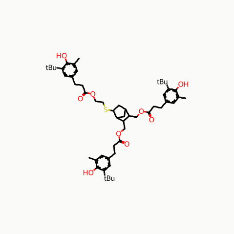 Cc1cc(CCC(=O)OCCSC2CC3CC2C(COC(=O)CCc2cc(C)c(O)c(C(C)(C)C)c2)C3COC(=O)CCc2cc(C)c(O)c(C(C)(C)C)c2)cc(C(C)(C)C)c1O